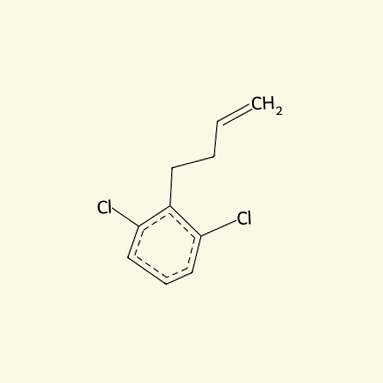 C=CCCc1c(Cl)cccc1Cl